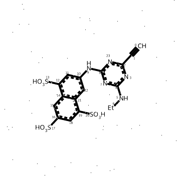 C#Cc1nc(NCC)nc(Nc2cc(S(=O)(=O)O)c3cc(S(=O)(=O)O)cc(S(=O)(=O)O)c3c2)n1